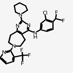 FC(F)c1ccc(Nc2nc(N3CCCCC3)nc3c2CCN(c2ncccc2C(F)(F)F)CC3)cc1Cl